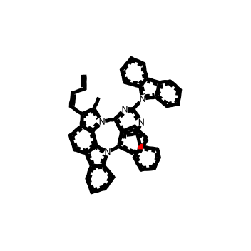 C=C/C=C\c1c(C)n(-c2nc(-c3ccccc3)nc(-n3c4ccccc4c4ccccc43)n2)c2c1ccc1c3ccccc3n(-c3ccccc3)c12